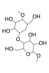 COC1OC(CO)C(OC2CC(CO)C(OC)C(O)C2O)C(O)C1O